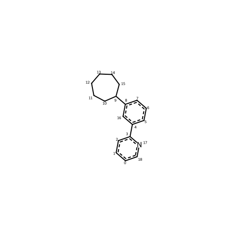 c1ccc(-c2cccc(C3CCCCCC3)c2)nc1